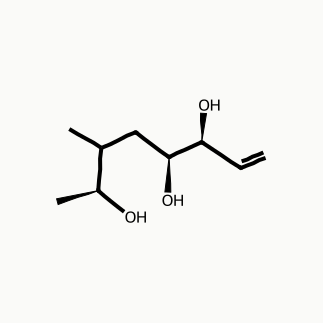 C=C[C@H](O)[C@@H](O)CC(C)[C@H](C)O